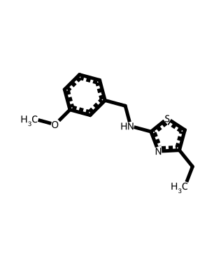 CCc1csc(NCc2cccc(OC)c2)n1